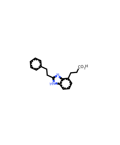 O=C(O)CCc1cccc2[nH]c(CCc3ccccc3)nc12